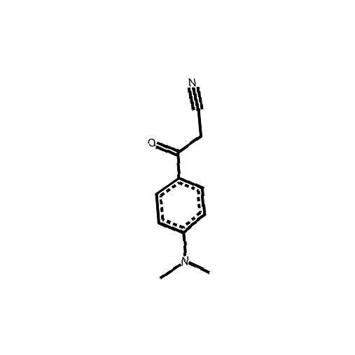 CN(C)c1ccc(C(=O)CC#N)cc1